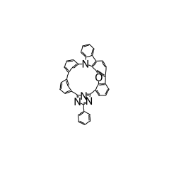 c1ccc(-c2nc3nc(n2)c2cccc4c5ccc6c7ccccc7n(c7cccc(c7)c7cccc3c7)c6c5oc24)cc1